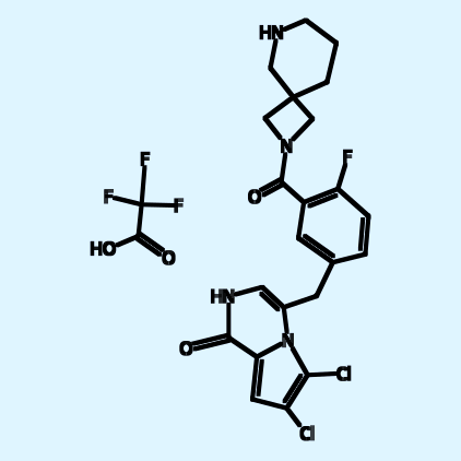 O=C(O)C(F)(F)F.O=C(c1cc(Cc2c[nH]c(=O)c3cc(Cl)c(Cl)n23)ccc1F)N1CC2(CCCNC2)C1